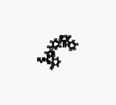 Nc1nc2c(F)cccc2c2nc(Cc3ccc(C(=O)NC4(c5ccccc5)CC4)cc3)cn12